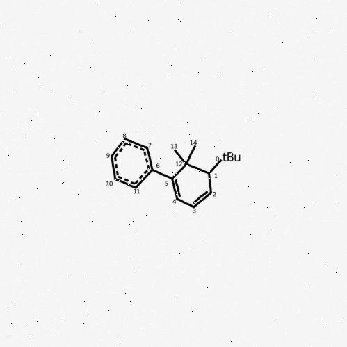 CC(C)(C)C1C=CC=C(c2ccccc2)C1(C)C